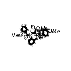 COC(=O)C1CN(C(=O)c2ccccc2OC)c2ccccc2CN1S(=O)(=O)c1ccc(OC)cc1